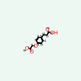 COC(=O)COc1ccc(CCC(=O)O)cc1